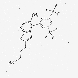 CCCCC1=Cc2c(ccc(C)c2-c2cc(C(F)(F)F)cc(C(F)(F)F)c2)[CH]1